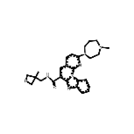 CN1CCCN(c2ccc3cc(C(=O)NCC4(C)COC4)c4nc5ccccc5n4c3n2)CC1